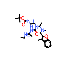 CC/N=C(\C)NC(=O)N(CCNC(=O)OC(C)(C)C)C(C)N(C)Cc1oc2ccccc2c1C